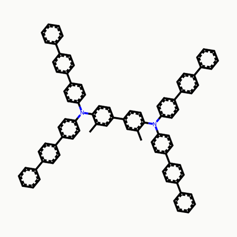 Cc1cc(-c2ccc(N(c3ccc(-c4ccc(-c5ccccc5)cc4)cc3)c3ccc(-c4ccc(-c5ccccc5)cc4)cc3)c(C)c2)ccc1N(c1ccc(-c2ccc(-c3ccccc3)cc2)cc1)c1ccc(-c2ccc(-c3ccccc3)cc2)cc1